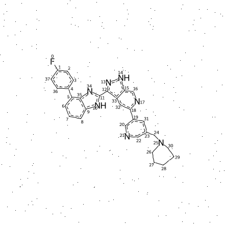 Fc1ccc(-c2cccc3[nH]c(-c4n[nH]c5cnc(-c6cncc(CN7CCCCC7)c6)cc45)nc23)cc1